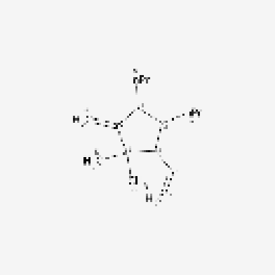 C=CC1C(CCC)C(CCC)C(=C)C1(C)C